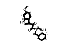 COc1ccc2c(C(=O)C(=O)N(CN)CC3CCCCC3)c[nH]c2c1